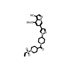 C=CS(=O)(=O)N1CCC(C(=O)N2CCC(n3cc(-c4cc(OC)c5c(C#N)cnn5c4)cn3)CC2)CC1